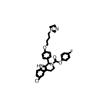 O=C(Oc1ccc(F)cc1)N1CCc2c([nH]c3ccc(Cl)cc23)C1c1ccc(OCCCCn2ccnc2)cc1